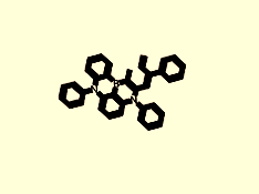 C=C/C(=C\C1=C(C)B2c3ccccc3N(c3ccccc3)c3cccc(c32)N1c1ccccc1)c1ccccc1